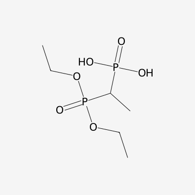 CCOP(=O)(OCC)C(C)P(=O)(O)O